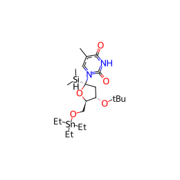 C[CH2][Sn]([CH2]C)([CH2]C)[O]C[C@H]1O[C@](n2cc(C)c(=O)[nH]c2=O)([SiH](C)C)C[C@@H]1OC(C)(C)C